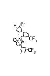 Cc1cc([C@H]2OC(=O)N(Cc3cc(C(F)(F)F)ccc3-c3cc(C(C)C)c(F)cc3C)[C@H]2C)cc(C(F)(F)F)c1